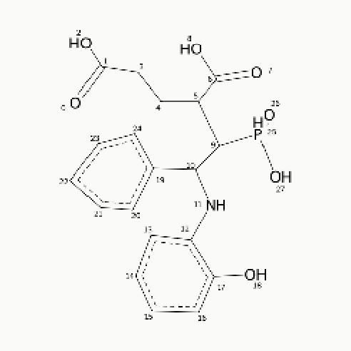 O=C(O)CCC(C(=O)O)C(C(Nc1ccccc1O)c1ccccc1)[PH](=O)O